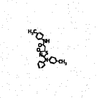 Cc1ccc(NC(=O)CC2SC(N(c3ccccc3)c3ccc(C)cc3)=NC2=O)cc1